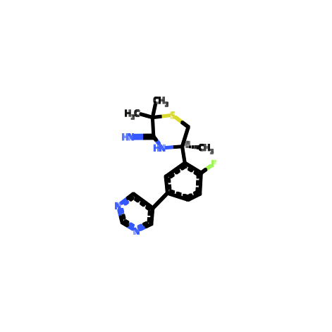 CC1(C)SC[C@@](C)(c2cc(-c3cncnc3)ccc2F)NC1=N